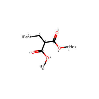 CCCCCCOC(=O)C(CC(C)CCC)C(=O)OC(C)C